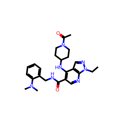 CCn1ncc2c(NC3CCN(C(C)=O)CC3)c(C(=O)NCc3ccccc3N(C)C)cnc21